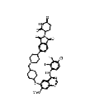 COc1cc2ncnc(Nc3ccc(Cl)c(Cl)c3F)c2cc1OC1CCC(CN2CCC(c3ccc4c(c3)C(=O)N(C3CCC(=O)NC3=O)C4=O)CC2)CC1